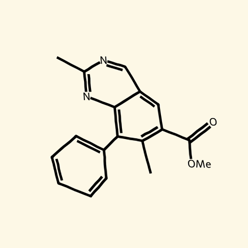 COC(=O)c1cc2cnc(C)nc2c(-c2ccccc2)c1C